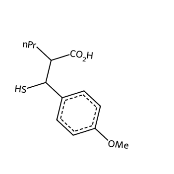 CCCC(C(=O)O)C(S)c1ccc(OC)cc1